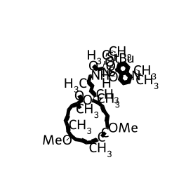 CO[C@@H]1/C=C(C)/C=C/C/C=C(\C)C(=O)O[C@H](/C(C)=C/C=C(\C)CNC(=O)[C@H](CO[Si](C)(C)C(C)(C)C)NS(=O)(=O)c2cccc3c(N(C)C)cccc23)[C@@H](C)/C=C/C=C/[C@@H](OC)CC/C=C(C)\C=C\C1